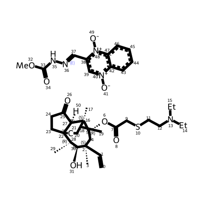 C=C[C@]1(C)C[C@@H](OC(=O)CSCCN(CC)CC)[C@@]2(C)C(C)CC[C@]3(CCC(=O)[C@H]32)[C@@H](C)[C@@H]1O.COC(=O)N/N=C/c1c[n+]([O-])c2ccccc2[n+]1[O-]